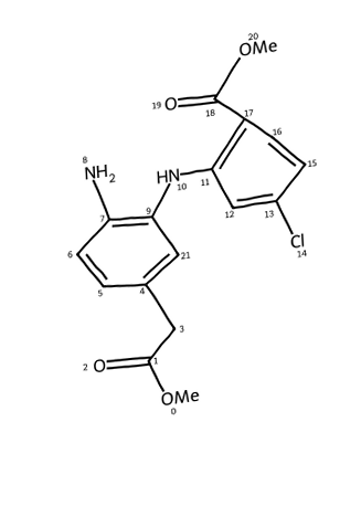 COC(=O)Cc1ccc(N)c(Nc2cc(Cl)ccc2C(=O)OC)c1